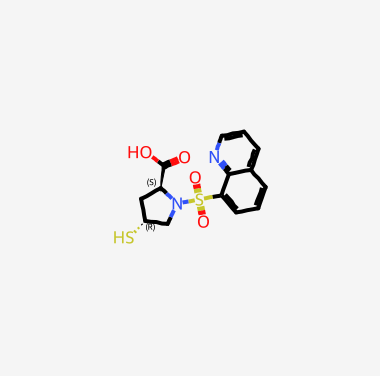 O=C(O)[C@@H]1C[C@@H](S)CN1S(=O)(=O)c1cccc2cccnc12